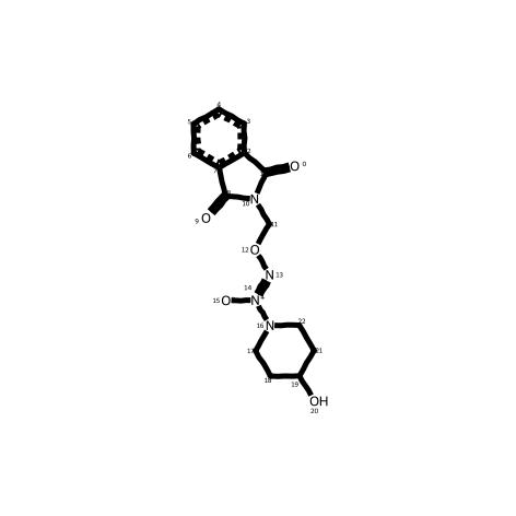 O=C1c2ccccc2C(=O)N1CO/N=[N+](\[O-])N1CCC(O)CC1